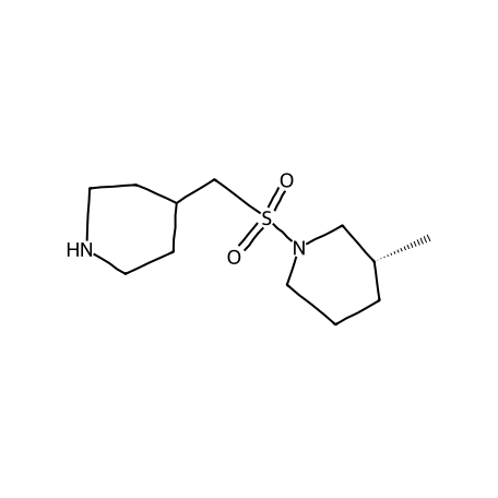 C[C@@H]1CCCN(S(=O)(=O)CC2CCNCC2)C1